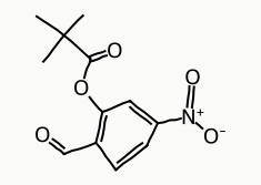 CC(C)(C)C(=O)Oc1cc([N+](=O)[O-])ccc1C=O